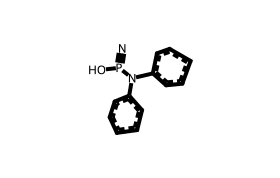 N#P(O)N(c1ccccc1)c1ccccc1